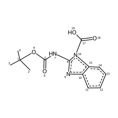 CC(C)(C)OC(=O)Nc1nc2ccccc2n1C(=O)O